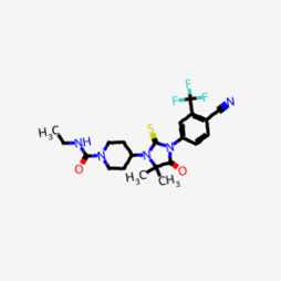 CCNC(=O)N1CCC(N2C(=S)N(c3ccc(C#N)c(C(F)(F)F)c3)C(=O)C2(C)C)CC1